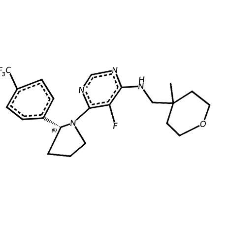 CC1(CNc2ncnc(N3CCC[C@@H]3c3ccc(C(F)(F)F)cc3)c2F)CCOCC1